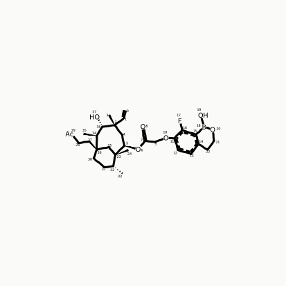 C=C[C@]1(C)C[C@@H](OC(=O)COc2ccc3c(c2F)B(O)OCC3)[C@@]2(C)C[C@](CCC(C)=O)(CC[C@H]2C)[C@@H](C)[C@@H]1O